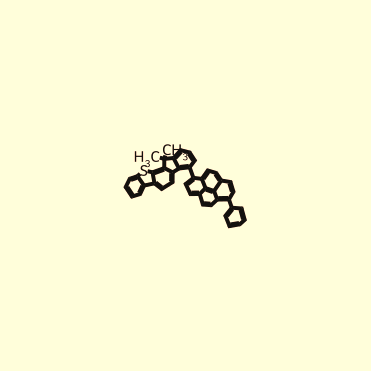 CC1(C)c2cccc(-c3ccc4ccc5c(-c6ccccc6)ccc6ccc3c4c65)c2-c2ccc3c(sc4ccccc43)c21